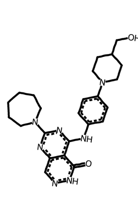 O=c1[nH]ncc2nc(N3CCCCCC3)nc(Nc3ccc(N4CCC(CO)CC4)cc3)c12